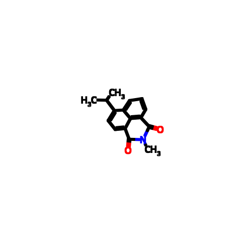 CC(C)c1ccc2c3c(cccc13)C(=O)N(C)C2=O